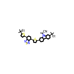 CCC(C)(C)c1ccc2c3ccc(-c4ccc(-c5ccc(-c6ccc(C(C)(C)CC)s6)c6nsnc56)s4)cc3n(C(C)C#N)c2c1